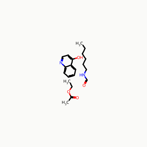 CCCCCCNC=O.CCOC(C)=O.Oc1ccnc2ccccc12